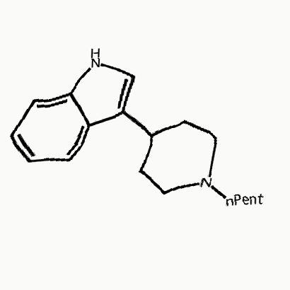 CCCCCN1CCC(c2c[nH]c3ccccc23)CC1